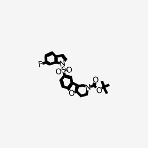 CC(C)(C)OC(=O)N1CCc2oc3ccc(S(=O)(=O)n4ccc5ccc(F)cc54)cc3c2C1